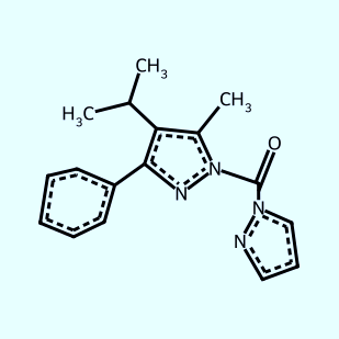 Cc1c(C(C)C)c(-c2ccccc2)nn1C(=O)n1cccn1